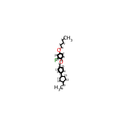 CCCCCOc1ccc(OCc2ccc(C3CCC(CC)CC3)cc2)c(F)c1